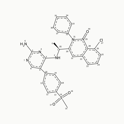 C[C@H](Nc1nc(N)ncc1-c1ccc(S(C)(=O)=O)cc1)c1cc2cccc(Cl)c2c(=O)n1-c1ccccc1